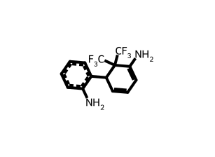 NC1=CC=CC(c2ccccc2N)C1(C(F)(F)F)C(F)(F)F